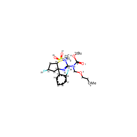 COCCOCN(C(=O)OC(C)(C)C)C1=NC2(c3ccccc3F)CC(F)CC2S(=O)(=O)N1C